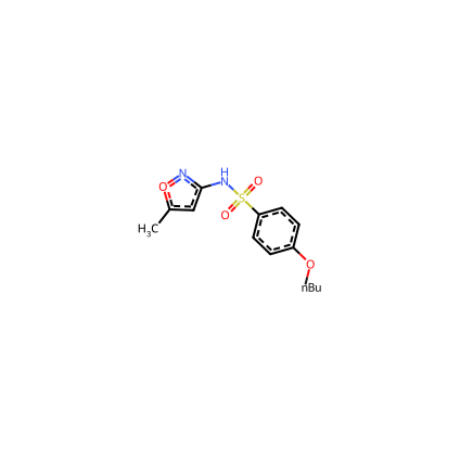 CCCCOc1ccc(S(=O)(=O)Nc2cc(C)on2)cc1